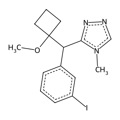 COC1(C(c2cccc(I)c2)c2nncn2C)CCC1